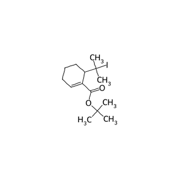 CC(C)(C)OC(=O)C1=CCCCC1C(C)(C)I